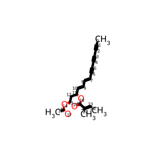 CC#CC#CC#CC=CC=CC(CCOC(C)=O)OC(=O)C(C)=CC